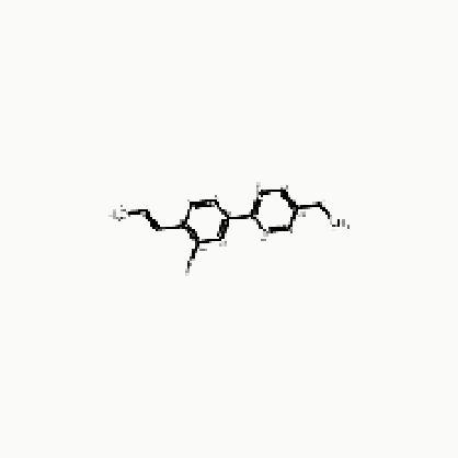 C/C=C/c1ccc(-c2ncc(CC)cn2)cc1F